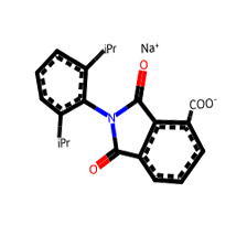 CC(C)c1cccc(C(C)C)c1N1C(=O)c2cccc(C(=O)[O-])c2C1=O.[Na+]